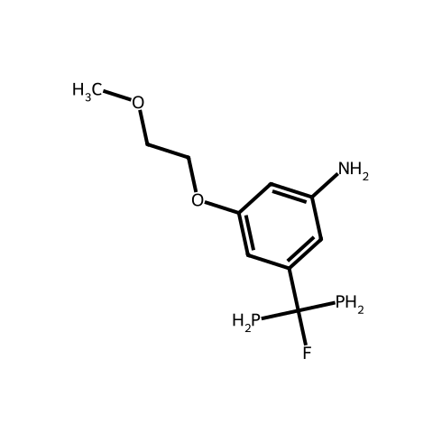 COCCOc1cc(N)cc(C(F)(P)P)c1